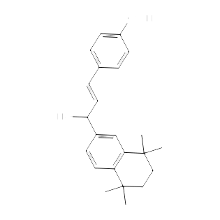 CC1(C)CCC(C)(C)c2cc(C(O)C=Cc3ccc(C(=O)O)cc3)ccc21